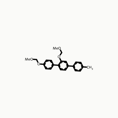 COCOc1ccc(-c2ccc(-c3ccc(C)cc3)cc2OCOC)cc1